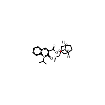 CSCCN1[C@@H]2CC[C@H]1C[C@@H](OC(=O)c1cc3ccccc3n(C(C)C)c1=O)C2